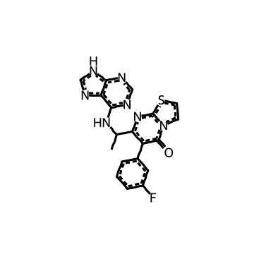 CC(Nc1ncnc2[nH]cnc12)c1nc2sccn2c(=O)c1-c1cccc(F)c1